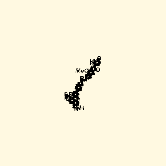 COc1c2c(cc3c1CN(C1CCC(=O)NC1=O)C3=O)CN(CC(=O)N1CC3(CCN(c4cc(F)c([C@@H]5c6ccc7[nH]ncc7c6C[C@@H](C)N5CC(F)F)c(F)c4)CC3)C1)C2